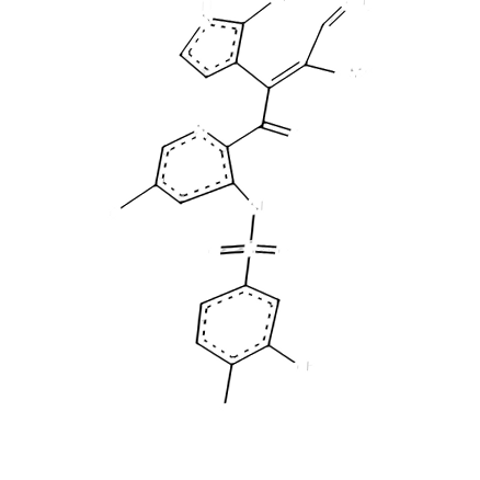 C=C/C(OC)=C(/C(=O)c1ncc(C)cc1NS(=O)(=O)c1ccc(C)c(C(F)(F)F)c1)c1cc[nH]c1C